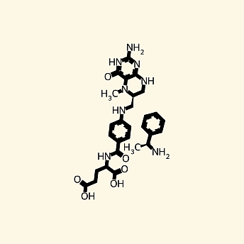 CN1c2c(nc(N)[nH]c2=O)NC[C@H]1CNc1ccc(C(=O)NC(CCC(=O)O)C(=O)O)cc1.C[C@H](N)c1ccccc1